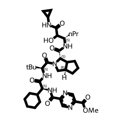 CCC[C@H](NC(=O)[C@@H]1C2CCC[C@H]2CN1C(=O)[C@@H](NC(=O)[C@@H](NC(=O)c1cnc(C(=O)OC)cn1)C1CCCCC1)C(C)(C)C)C(O)C(=O)NC1CC1